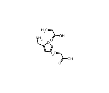 C=CC(=O)O.C=CC(=O)O.NCc1ccco1